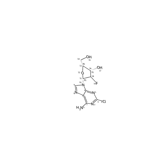 Nc1nc(Cl)nc2c1ncn2[C@@H]1O[C@H](CO)[C@H](O)C1F